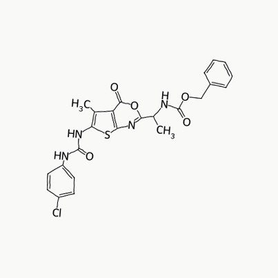 Cc1c(NC(=O)Nc2ccc(Cl)cc2)sc2nc(C(C)NC(=O)OCc3ccccc3)oc(=O)c12